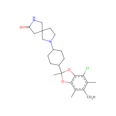 Cc1c(Cl)c2c(c(C)c1C(=O)O)OC(C)(C1CCC(N3CCC4(CNC(=O)C4)C3)CC1)O2